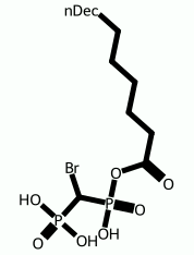 CCCCCCCCCCCCCCCC(=O)OP(=O)(O)C(Br)P(=O)(O)O